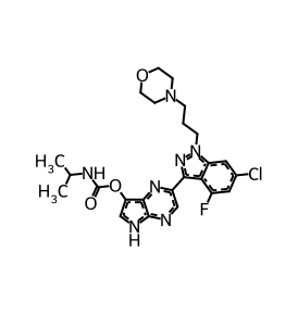 CC(C)NC(=O)Oc1c[nH]c2ncc(-c3nn(CCCN4CCOCC4)c4cc(Cl)cc(F)c34)nc12